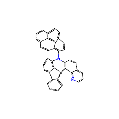 c1ccc2c(c1)B1c3c-2cccc3N(c2ccc3ccc4cccc5ccc2c3c45)c2ccc3cccnc3c21